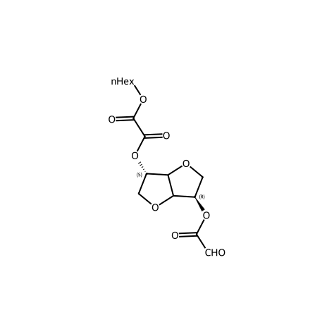 [CH2]CCCCCOC(=O)C(=O)O[C@H]1COC2C1OC[C@H]2OC(=O)C=O